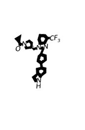 O=C(C1CC1)N1CC[C@@H](Cn2c(-c3ccc(-c4ccc5[nH]ccc5c4)cc3)nc3c(C(F)(F)F)cccc32)C1